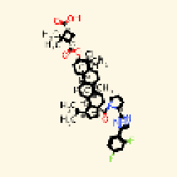 C=C(C)[C@@H]1CC[C@]2(C(=O)N3CCC[C@H]3c3ncc(-c4ccc(F)cc4F)[nH]3)CC[C@]3(C)[C@H](CC[C@@H]4[C@@]5(C)CC[C@H](OC(=O)[C@H]6C[C@@H](C(=O)O)C6(C)C)C(C)(C)[C@@H]5CC[C@]43C)[C@@H]12